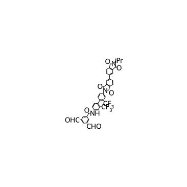 CC(C)N1C(=O)c2ccc(-c3ccc4c(c3)C(=O)N(c3ccc(-c5ccc(NC(=O)c6cc(C=O)cc(C=O)c6)cc5C(F)(F)F)c(C(F)(F)F)c3)C4=O)cc2C1=O